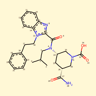 CC(C)CN(C(=O)c1nc2ccccc2n1CCc1ccccc1)[C@H]1C[C@@H](C(N)=O)CN(C(=O)O)C1